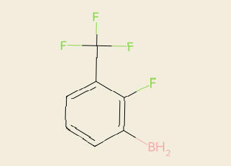 Bc1cccc(C(F)(F)F)c1F